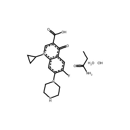 CCC(N)=O.Cl.O.O=C(O)c1cn(C2CC2)c2cc(N3CCNCC3)c(F)cc2c1=O